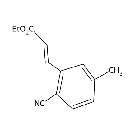 CCOC(=O)/C=C/c1cc(C)ccc1C#N